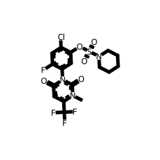 Cn1c(C(F)(F)F)cc(=O)n(-c2cc(OS(=O)(=O)N3CCCCC3)c(Cl)cc2F)c1=O